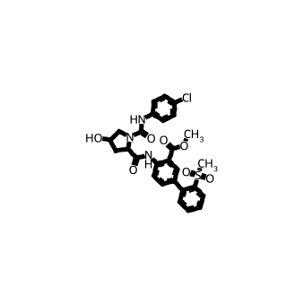 COC(=O)c1cc(-c2ccccc2S(C)(=O)=O)ccc1NC(=O)C1CC(O)CN1C(=O)Nc1ccc(Cl)cc1